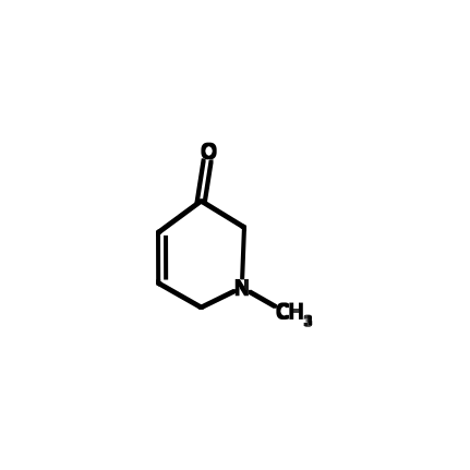 CN1CC=CC(=O)C1